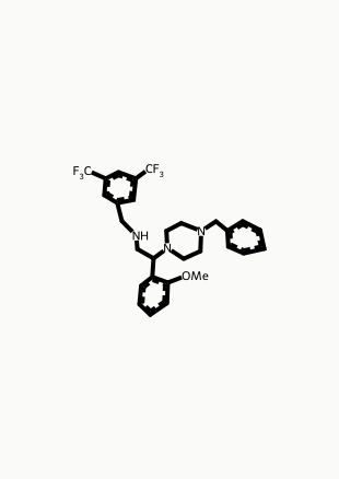 COc1ccccc1C(CNCc1cc(C(F)(F)F)cc(C(F)(F)F)c1)N1CCN(Cc2ccccc2)CC1